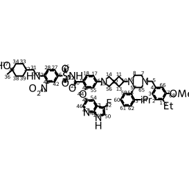 CCc1ccc(CN2CCN(C3CC4(C3)CN(c3ccc(C(=O)NS(=O)(=O)c5ccc(NCC6CCC(C)(O)CC6)c([N+](=O)[O-])c5)c(Oc5cnc6[nH]cc(F)c6c5)c3)C4)[C@H](c3ccccc3C(C)C)C2)cc1OC